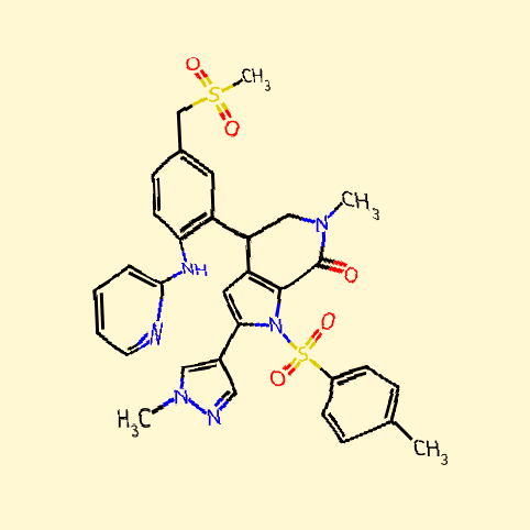 Cc1ccc(S(=O)(=O)n2c(-c3cnn(C)c3)cc3c2C(=O)N(C)CC3c2cc(CS(C)(=O)=O)ccc2Nc2ccccn2)cc1